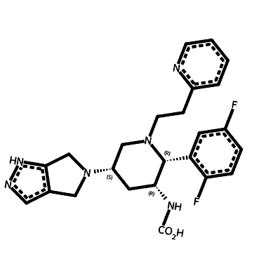 O=C(O)N[C@@H]1C[C@H](N2Cc3cn[nH]c3C2)CN(CCc2ccccn2)[C@@H]1c1cc(F)ccc1F